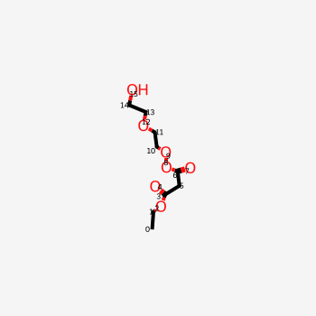 CCOC(=O)CC(=O)OOCCOCCO